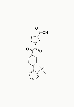 CC(C)(C)c1ccccc1N1CCN(C(=O)C(=O)N2CCC(C(=O)O)C2)CC1